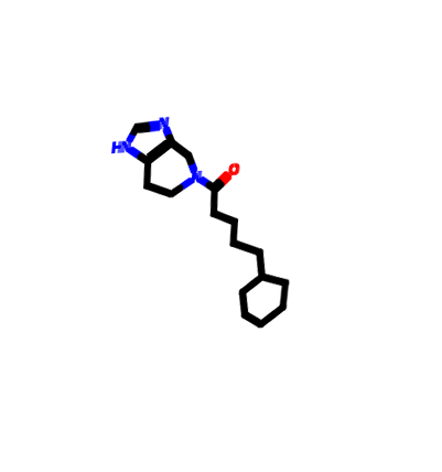 O=C(CCCCC1CCCCC1)N1CCc2[nH]cnc2C1